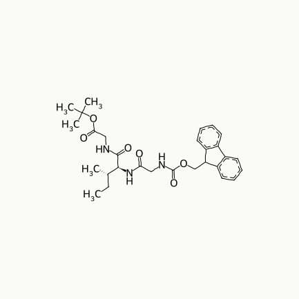 CC[C@H](C)[C@H](NC(=O)CNC(=O)OCC1c2ccccc2-c2ccccc21)C(=O)NCC(=O)OC(C)(C)C